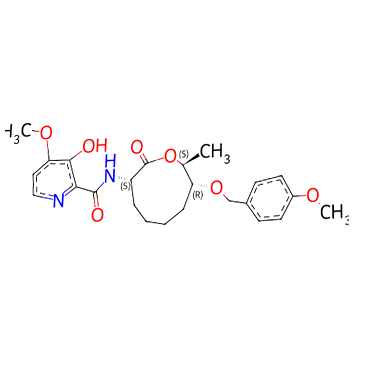 COc1ccc(CO[C@@H]2CCCC[C@H](NC(=O)c3nccc(OC)c3O)C(=O)O[C@H]2C)cc1